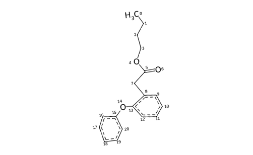 CCCCOC(=O)Cc1ccccc1Oc1ccccc1